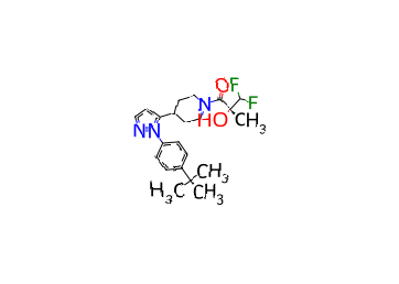 CC(C)(C)c1ccc(-n2nccc2C2CCN(C(=O)[C@@](C)(O)C(F)F)CC2)cc1